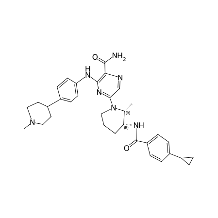 C[C@@H]1[C@H](NC(=O)c2ccc(C3CC3)cc2)CCCN1c1cnc(C(N)=O)c(Nc2ccc(C3CCN(C)CC3)cc2)n1